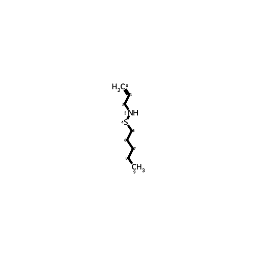 C=CCNSCCCCC